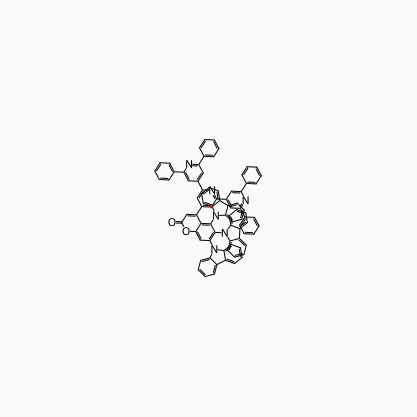 O=c1cc(-c2cc(-c3cc(-c4ccccc4)nc(-c4ccccc4)c3)nc(-c3cc(-c4ccccc4)nc(-c4ccccc4)c3)c2)c2c(-n3c4ccccc4c4ccccc43)c(-n3c4ccccc4c4ccccc43)c(-n3c4ccccc4c4ccccc43)cc2o1